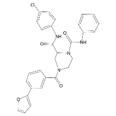 O=C(Nc1ccc(Cl)cc1)C1CN(C(=O)c2cccc(-c3ccco3)c2)CCN1C(=O)Nc1ccccc1